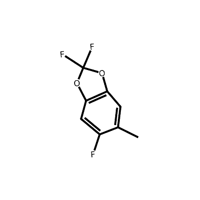 Cc1cc2c(cc1F)OC(F)(F)O2